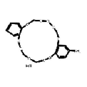 Cl.Nc1ccc2c(c1)OCCOCCOc1ccccc1OCCOCCO2